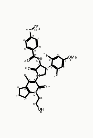 COc1cc(F)c([C@@H]2CN(c3c(C)c4c(n(CCO)c3=O)CCC4)C(=O)C2NC(=O)c2ccc(OC(F)(F)F)cc2)c(F)c1